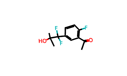 CC(=O)c1cc(C(F)(F)C(C)(C)O)ccc1F